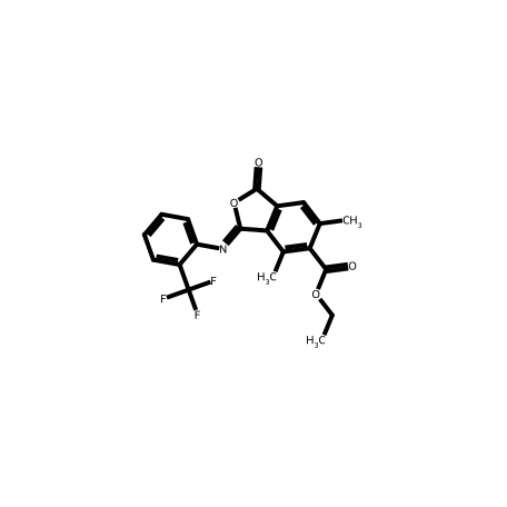 CCOC(=O)c1c(C)cc2c(c1C)C(=Nc1ccccc1C(F)(F)F)OC2=O